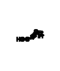 CCC(C(=O)N1CCN(CCOCCO)CC1)C(C)C